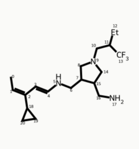 C/C=C(\C=C\NCC1CN(CC(CC)C(F)(F)F)CC1CN)C1CC1